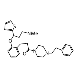 CNCCC(Oc1ccccc1CCC(=O)N1CCN(CCc2ccccc2)CC1)c1cccs1